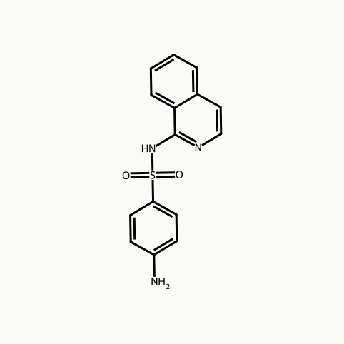 Nc1ccc(S(=O)(=O)Nc2nccc3ccccc23)cc1